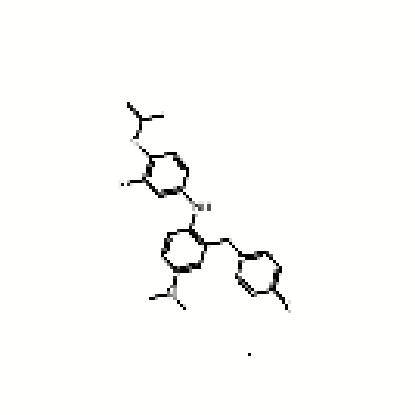 CC(C)Oc1ccc(Nc2ccc(N(C)C)cc2Cc2ccc(Cl)cc2)cc1F